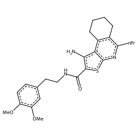 CCCc1nc2sc(C(=O)NCCc3ccc(OC)c(OC)c3)c(N)c2c2c1CCCC2